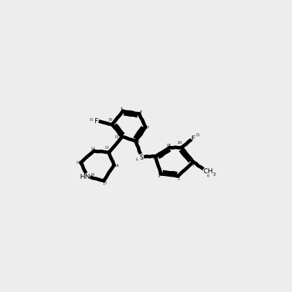 Cc1ccc(Sc2cccc(F)c2C2CCNCC2)cc1F